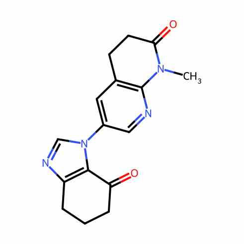 CN1C(=O)CCc2cc(-n3cnc4c3C(=O)CCC4)cnc21